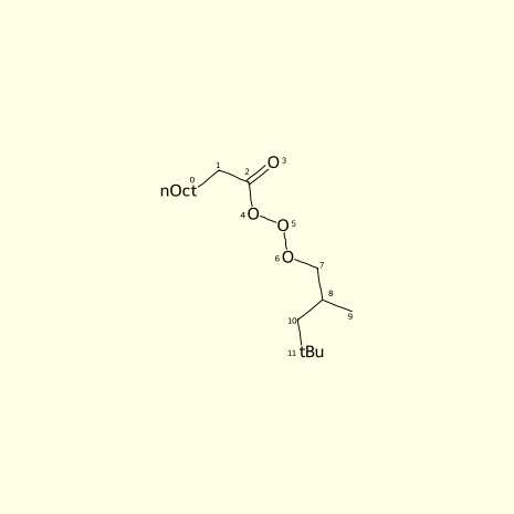 CCCCCCCCCC(=O)OOOCC(C)CC(C)(C)C